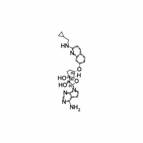 Nc1ncnc2c1ccn2[C@@H]1O[C@@H]2[C@@H](Oc3ccc4ccc(NCC5CC5)nc4c3)CC[C@]2(O)[C@H]1O